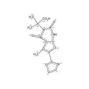 Cc1c(-c2ncco2)sc2[nH]c(=O)n(C(C)(C)C(=O)O)c(=O)c12